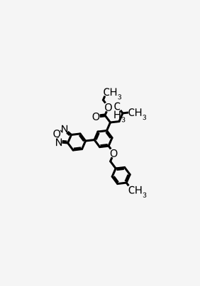 CCOC(=O)C(CC(C)C)c1cc(OCc2ccc(C)cc2)cc(-c2ccc3nonc3c2)c1